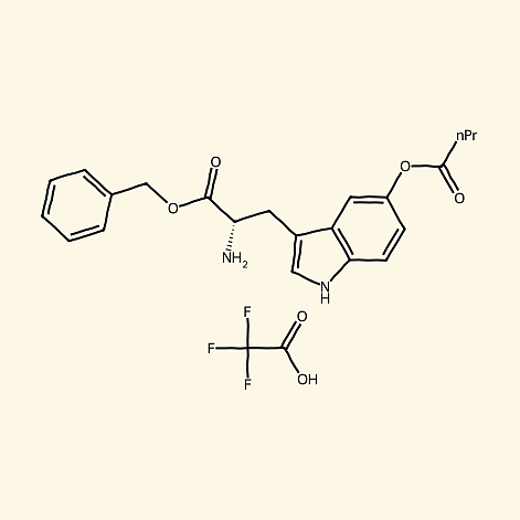 CCCC(=O)Oc1ccc2[nH]cc(C[C@H](N)C(=O)OCc3ccccc3)c2c1.O=C(O)C(F)(F)F